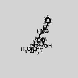 CC(C)(C)OC(=O)CN(CCCCNC(=O)OCc1ccccc1)C(=O)N1CCC[C@H]1C(=O)O